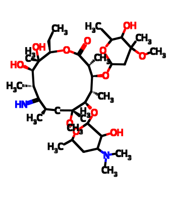 CC[C@H]1OC(=O)[C@H](C)[C@@H](OC2CC(C)(OC)C(O)C(C)O2)[C@H](C)[C@@H](OC2OC(C)CC(N(C)C)C2O)[C@](C)(OC)C[C@@H](C)C(=N)[C@H](C)[C@@H](O)[C@]1(C)O